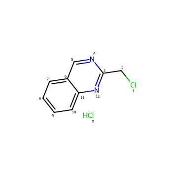 Cl.ClCc1ncc2ccccc2n1